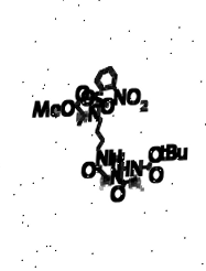 COC(=O)[C@H](C)N(CCCCNC(=O)[C@@H](C)NC(=O)[C@@H](C)NC(=O)OC(C)(C)C)S(=O)(=O)c1ccccc1[N+](=O)[O-]